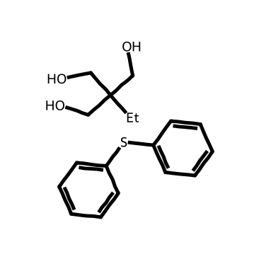 CCC(CO)(CO)CO.c1ccc(Sc2ccccc2)cc1